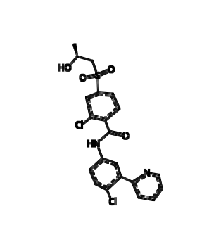 C[C@H](O)CS(=O)(=O)c1ccc(C(=O)Nc2ccc(Cl)c(-c3ccccn3)c2)c(Cl)c1